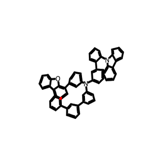 c1ccc(-c2cccc(-c3cccc(N(c4cccc(-c5ccccc5-n5c6ccccc6c6ccccc65)c4)c4cccc(-c5cccc6c5oc5ccccc56)c4)c3)c2)cc1